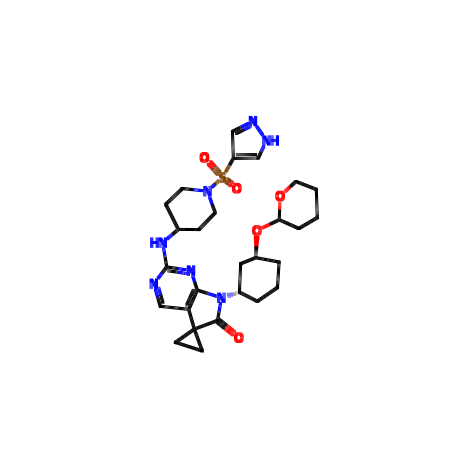 O=C1N([C@H]2CCC[C@H](OC3CCCCO3)C2)c2nc(NC3CCN(S(=O)(=O)c4cn[nH]c4)CC3)ncc2C12CC2